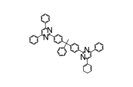 CC(c1ccccc1)(c1ccc(-c2nc(C3=CCCC=C3)cc(-c3ccccc3)n2)cc1)c1ccc(-c2nc(-c3ccccc3)cc(-c3ccccc3)n2)cc1